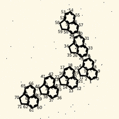 c1cc2c3c(cccc3c1)CC2.c1cc2c3c(cccc3c1)CC2.c1cc2c3c(cccc3c1)CC2.c1cc2c3c(cccc3c1)CC2.c1cc2c3c(cccc3c1)CC2.c1cc2c3c(cccc3c1)CC2